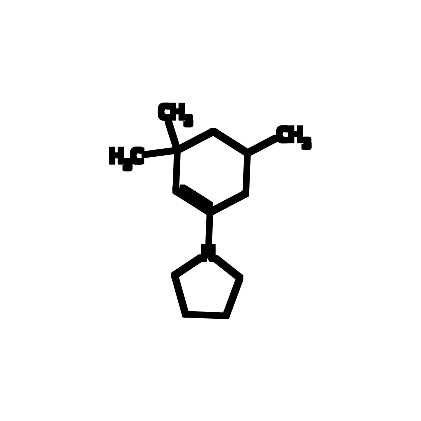 CC1CC(N2CCCC2)=CC(C)(C)C1